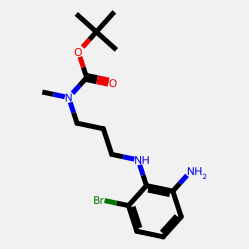 CN(CCCNc1c(N)cccc1Br)C(=O)OC(C)(C)C